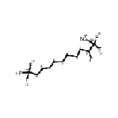 FC(CCCCCCCCC(F)(F)F)[C](F)(F)[Na]